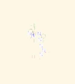 Cc1cc(C(F)(F)F)cc(N2C(=O)C[C@@H]3CN(CCN4CCN5C(=O)C(C)N(C(=O)O)CC5C4)c4c(F)cccc4N(C)C(=O)[C@H]32)n1